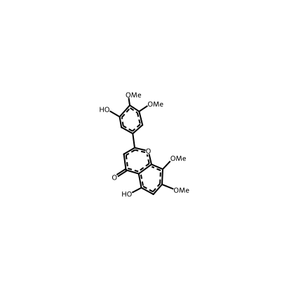 COc1cc(-c2cc(=O)c3c(O)cc(OC)c(OC)c3o2)cc(O)c1OC